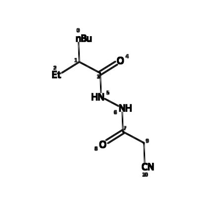 CCCCC(CC)C(=O)NNC(=O)CC#N